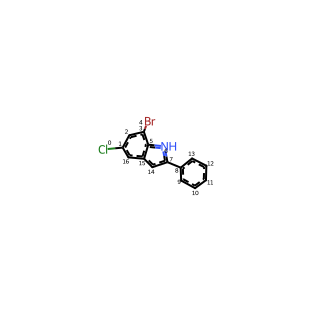 Clc1cc(Br)c2[nH]c(-c3ccccc3)cc2c1